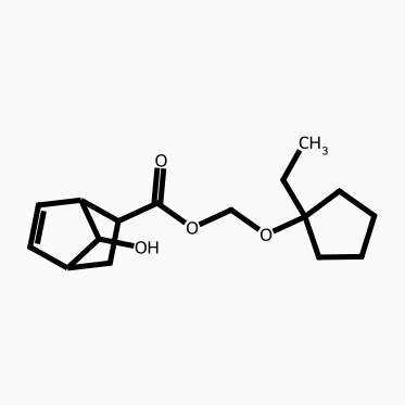 CCC1(OCOC(=O)C2CC3C=CC2C3O)CCCC1